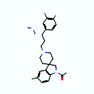 CNC[C@@H](CCN1CCC2(CC1)CN(C(C)=O)c1ccc(Cl)cc12)c1ccc(Cl)c(Cl)c1